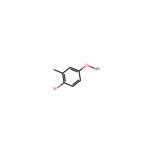 CCCOc1ccc(Br)c(C)c1